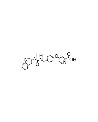 O=C(NCc1ccc(Oc2ccnc(C(=O)O)c2)cc1)Nc1cnc2ccccc2c1